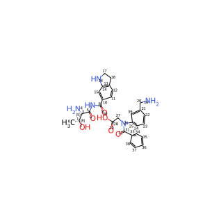 C[C@@H](O)[C@H](N)C(=O)NC(=O)c1ccc2c(c1)NCC2.NCc1cccc(N(CC(=O)O)C(=O)c2ccccc2)c1